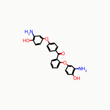 Nc1cc(Oc2ccc(C(=O)c3ccccc3Oc3ccc(O)c(N)c3)cc2)ccc1O